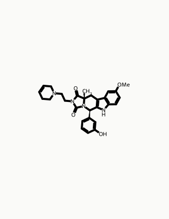 COc1ccc2[nH]c3c(c2c1)C[C@@]1(C)C(=O)N(CCN2CC=CCC2)C(=O)N1[C@@H]3c1cccc(O)c1